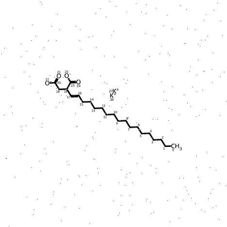 CCCCCCCCCCCCCCCCC=CC(CC(=O)[O-])C(=O)[O-].[K+].[K+]